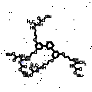 C=C(NCCCOc1cc(OCCCN/C(C)=N/C(=O)OC(C)(C)C)cc(-c2cccc(-c3cc(OCCCNC(=C)NC(=O)OC(C)(C)C)cc(OCCCN/C(=N\C(=O)OC(C)(C)C)NC(=O)OC(C)(C)C)c3)c2)c1)NC(=O)OC(C)(C)C